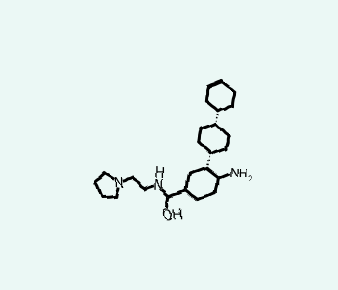 NC1CCC(C(O)NCCN2CCCC2)CC1[C@H]1CC[C@@H](C2CCCCC2)CC1